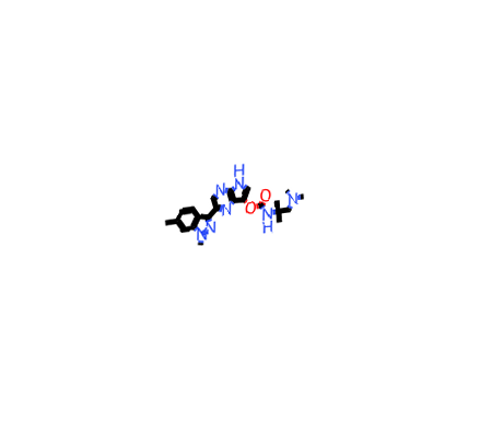 Cc1ccc2c(-c3cnc4[nH]cc(OC(=O)NC(C)(C)CN(C)C)c4n3)nn(C)c2c1